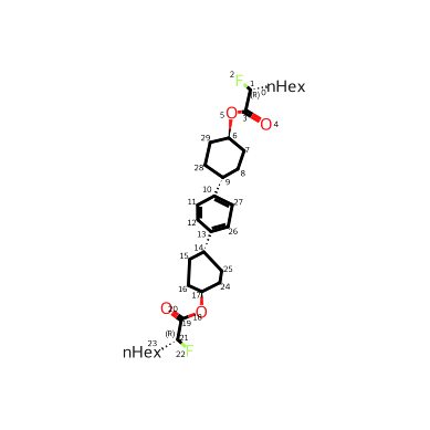 CCCCCC[C@@H](F)C(=O)O[C@H]1CC[C@H](c2ccc([C@H]3CC[C@H](OC(=O)[C@H](F)CCCCCC)CC3)cc2)CC1